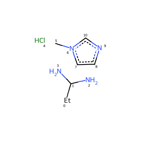 CCC(N)N.Cl.Cn1ccnc1